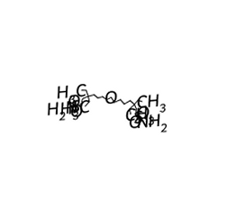 CCC(CC)(CCCCOCCCCC(CC)(CC)CCS(N)(=O)=O)CCS(N)(=O)=O